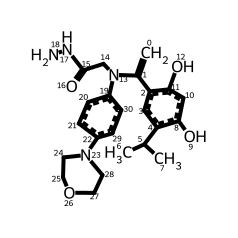 C=C(c1cc(C(C)C)c(O)cc1O)N(CC(=O)NN)c1ccc(N2CCOCC2)cc1